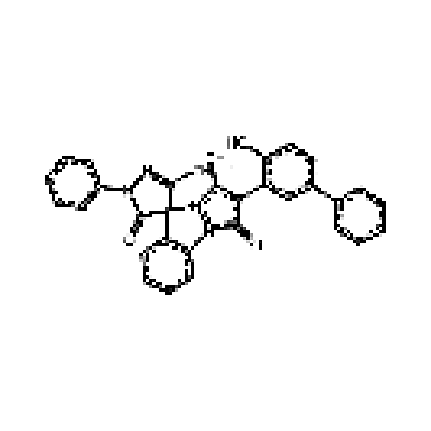 CC1=NN(c2ccccc2)C(=O)C12c1ccccc1-n1c(=O)c(-c3cc(-c4ccccc4)ccc3O)c(C)n12